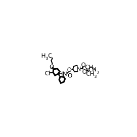 CCCCOc1ccc(-c2ccccc2NC(=O)OC2CCN(C(=O)OC(C)(C)C)CC2)cc1Cl